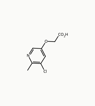 Cc1ncc(OCC(=O)O)cc1Cl